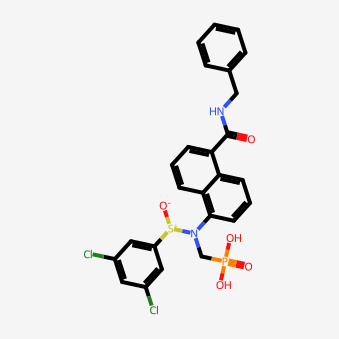 O=C(NCc1ccccc1)c1cccc2c(N(CP(=O)(O)O)[S+]([O-])c3cc(Cl)cc(Cl)c3)cccc12